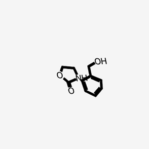 O=C1NCCO1.OCc1ccccc1